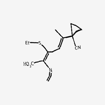 C=N/C(C(=O)O)=C(\C=C(/C)C1(C#N)CC1)SCC